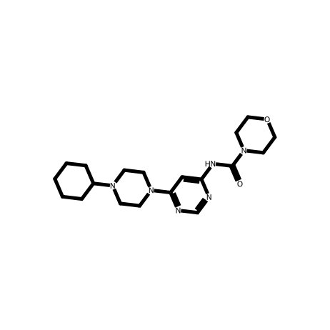 O=C(Nc1cc(N2CCN(C3CCCCC3)CC2)ncn1)N1CCOCC1